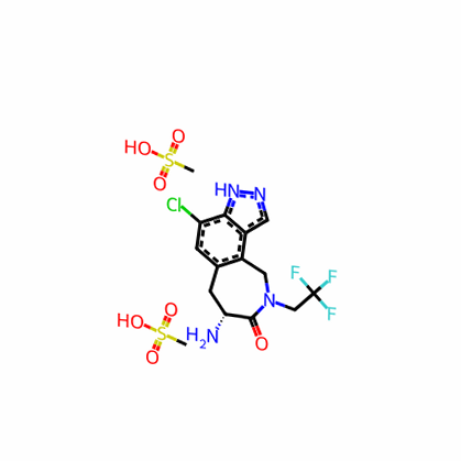 CS(=O)(=O)O.CS(=O)(=O)O.N[C@@H]1Cc2cc(Cl)c3[nH]ncc3c2CN(CC(F)(F)F)C1=O